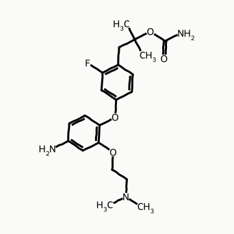 CN(C)CCOc1cc(N)ccc1Oc1ccc(CC(C)(C)OC(N)=O)c(F)c1